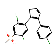 CS(=O)(=O)c1cc(F)c(C2=C(c3ccc(F)cc3)C=CC2)cc1F